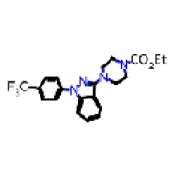 CCOC(=O)N1CCN(c2nn(-c3ccc(C(F)(F)F)cc3)c3ccccc23)CC1